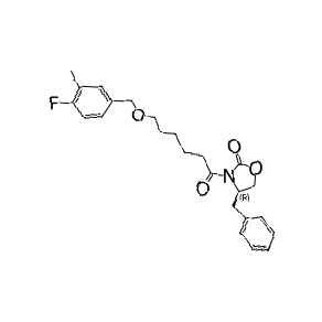 Cc1cc(COCCCCCC(=O)N2C(=O)OC[C@H]2Cc2ccccc2)ccc1F